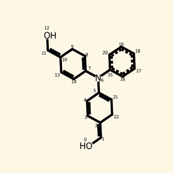 OC=C1C=CC(N(C2=CCC(=CO)C=C2)c2ccccc2)=CC1